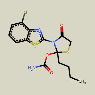 CCCCC1(OC(N)=O)SCC(=O)N1c1nc2c(Cl)cccc2s1